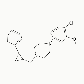 COc1cc(N2CCN(CC3CC3c3ccccc3)CC2)ccc1Cl